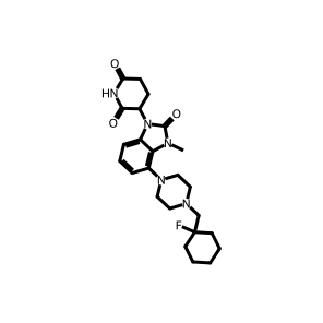 Cn1c(=O)n(C2CCC(=O)NC2=O)c2cccc(N3CCN(CC4(F)CCCCC4)CC3)c21